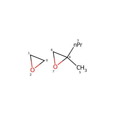 C1CO1.CCCC1(C)CO1